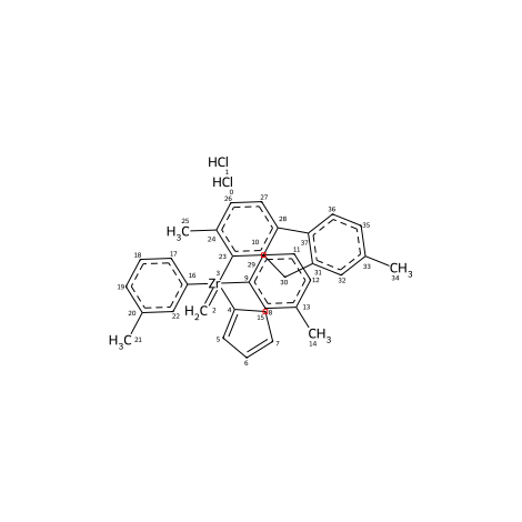 Cl.Cl.[CH2]=[Zr]([C]1=CC=CC1)([c]1cccc(C)c1)([c]1cccc(C)c1)[c]1c(C)ccc2c1Cc1cc(C)ccc1-2